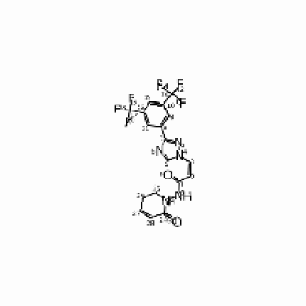 O=C(/C=C\n1cnc(-c2cc(C(F)(F)F)cc(C(F)(F)F)c2)n1)NN1CCC=CC1=O